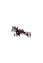 C=C/C=C(\C(C)=C/N)c1ccc(C[C@H](NC(=O)[C@@H]2Cc3cc4c(cc3CN2C(=O)[C@@H]2CCNC2)O[C@@H](c2ccc(OCc3ccc(Cl)c(Cl)c3)cc2)CO4)C(=O)O)cc1